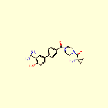 NC(N)c1cc(-c2ccc(C(=O)N3CCN(C(=O)C4(N)CC4)CC3)cc2)ccc1O